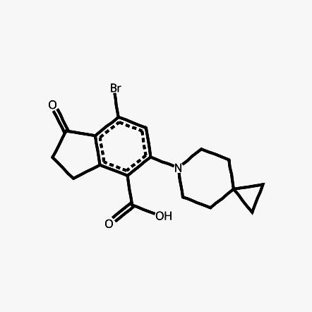 O=C1CCc2c1c(Br)cc(N1CCC3(CC1)CC3)c2C(=O)O